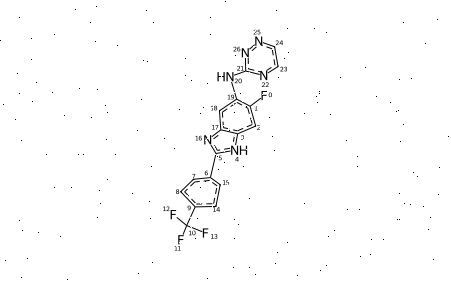 Fc1cc2[nH]c(-c3ccc(C(F)(F)F)cc3)nc2cc1Nc1nccnn1